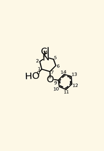 OC1CN(Cl)CCC1Oc1ccccc1